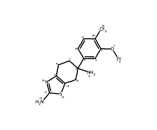 CCOc1cc(C2(N)CCc3nc(N)sc3C2)ccc1C(F)(F)F